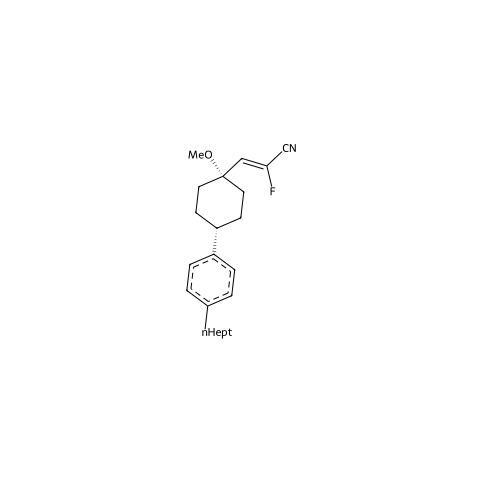 CCCCCCCc1ccc([C@H]2CC[C@@](C=C(F)C#N)(OC)CC2)cc1